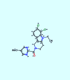 COc1cnc(C(=O)N2CCc3c(c4ccc(Cl)c(Cl)c4n3CC#N)C2)nc1